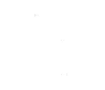 Oc1ccc2cc(Oc3ccc4cc(O)ccc4c3)ccc2c1